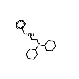 c1csc(CNCCP(C2CCCCC2)C2CCCCC2)c1